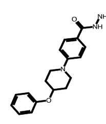 NNC(=O)c1ccc(N2CCC(Oc3ccccc3)CC2)cc1